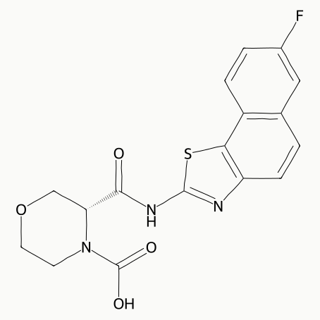 O=C(Nc1nc2ccc3cc(F)ccc3c2s1)[C@H]1COCCN1C(=O)O